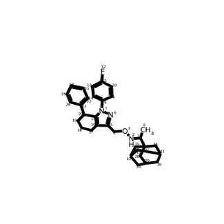 CC(NOCc1nn(-c2ccc(F)cc2)c2c1CCCC2c1ccccc1)C12CC3CC(CC(C3)C1)C2